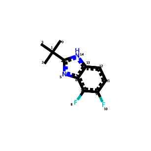 CC(C)(C)c1nc2c(F)c(F)ccc2[nH]1